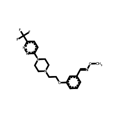 CON=Cc1cccc(OCCN2CCN(c3ccc(C(F)(F)F)nn3)CC2)c1